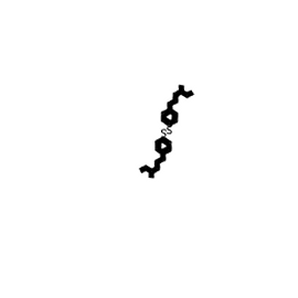 CCC(C)CCCc1ccc(SSc2ccc(CCCC(C)CC)cc2)cc1